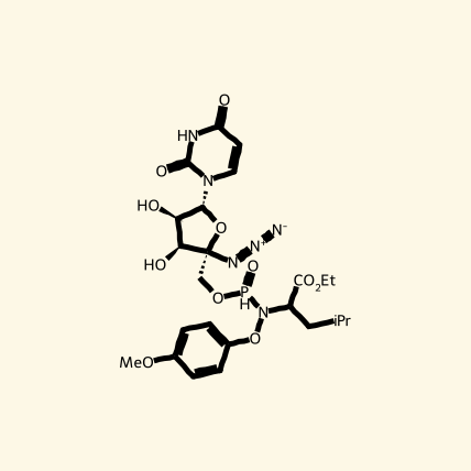 CCOC(=O)C(CC(C)C)N(Oc1ccc(OC)cc1)[PH](=O)OC[C@@]1(N=[N+]=[N-])O[C@@H](n2ccc(=O)[nH]c2=O)[C@H](O)[C@@H]1O